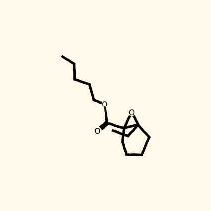 CCCCCOC(=O)C12CCCCC1(CC)O2